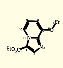 CCOC(=O)c1cnc2c(OCC)cccn12